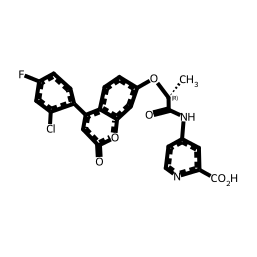 C[C@@H](Oc1ccc2c(-c3ccc(F)cc3Cl)cc(=O)oc2c1)C(=O)Nc1ccnc(C(=O)O)c1